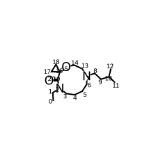 CCN1CCCCN(CCC(C)C)CCOC2(CC2)C1=O